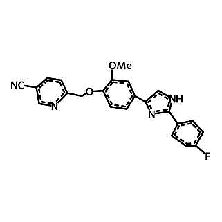 COc1cc(-c2c[nH]c(-c3ccc(F)cc3)n2)ccc1OCc1ccc(C#N)cn1